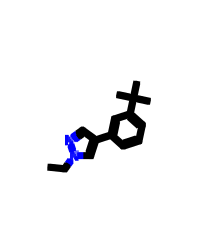 CCn1cc(-c2cccc(C(C)(C)C)c2)cn1